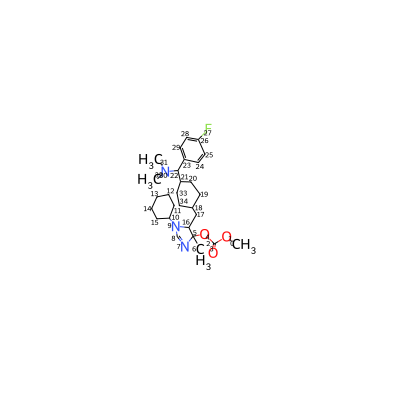 COC(=O)OC1(C)N=CN(C2CCCCC2)C1CC1CCC(C(c2ccc(F)cc2)N(C)C)CC1